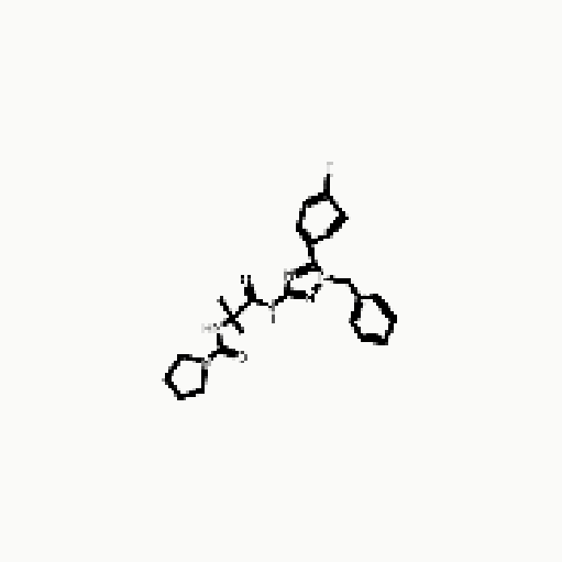 CC(C)(NC(=O)N1CCCC1)C(=O)Nc1nc(-c2ccc(F)cc2)n(Cc2ccccc2)n1